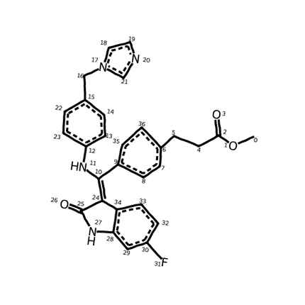 COC(=O)CCc1ccc(/C(Nc2ccc(Cn3ccnc3)cc2)=C2/C(=O)Nc3cc(F)ccc32)cc1